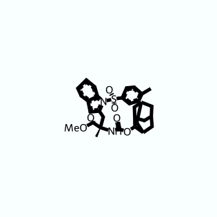 COC(=O)[C@](C)(Cc1cc2ccccc2n1S(=O)(=O)c1ccc(C)cc1)NC(=O)OC1C2CC3CC(C2)CC1C3